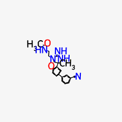 CC(=O)NCCN1C(=N)NC(C)(c2cccc(-c3cccc(C#N)c3)c2)C1=O